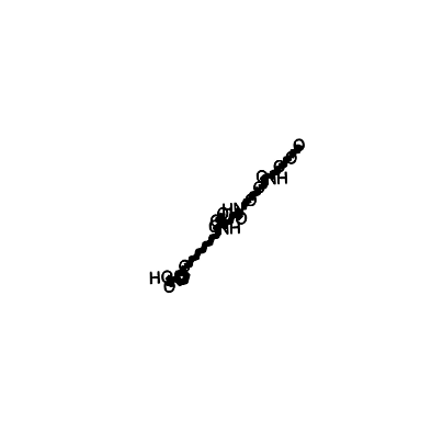 O=CCOCCOCCNC(=O)COCCOCCNC(=O)CCC(NC(=O)CCCCCCCCCOc1cccc(C(=O)O)c1)C(=O)O